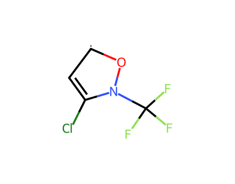 FC(F)(F)N1O[CH]C=C1Cl